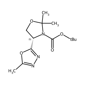 Cc1nnc([C@@H]2COC(C)(C)N2C(=O)OC(C)(C)C)o1